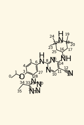 CCOc1ccc(Nc2ncc(C#N)c(NC3CC(C)(C)NC(C)(C)C3)n2)cc1-n1nnnc1CC